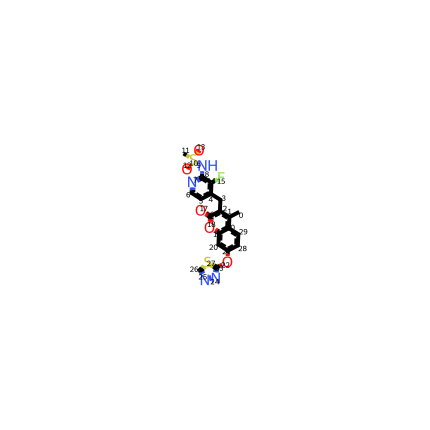 Cc1c(Cc2ccnc(NS(C)(=O)=O)c2F)c(=O)oc2cc(Oc3nncs3)ccc12